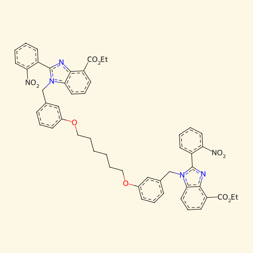 CCOC(=O)c1cccc2c1nc(-c1ccccc1[N+](=O)[O-])n2Cc1cccc(OCCCCCCOc2cccc(Cn3c(-c4ccccc4[N+](=O)[O-])nc4c(C(=O)OCC)cccc43)c2)c1